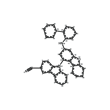 N#Cc1ccc2c(c1)c1ccccc1n2-c1cc(Nc2ccccc2-c2ccccc2)cc2oc3ccccc3c12